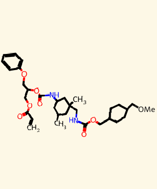 C=CC(=O)OCC(COc1ccccc1)OC(=O)NC1CC(C)CC(C)(CNC(=O)OCC2CCC(COC)CC2)C1